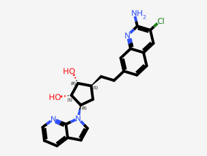 Nc1nc2cc(CC[C@H]3C[C@@H](n4ccc5cccnc54)[C@H](O)[C@@H]3O)ccc2cc1Cl